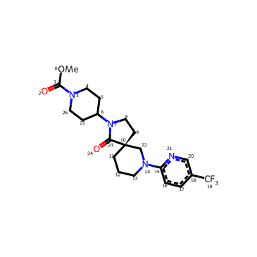 COC(=O)N1CCC(N2CC[C@@]3(CCCN(c4ccc(C(F)(F)F)cn4)C3)C2=O)CC1